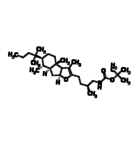 CCCC(C)(C)[C@H]1CC[C@]2(C)C3C(C)=C(CC[C@H](C)CNC(=O)OC(C)(C)C)O[C@H]3C[C@H]2[C@@H]1C